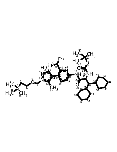 Cc1nn(COCC[Si](C)(C)C)c(C)c1-c1ccc(NC(=O)[C@@H](NC(=O)OC(C)(C)C)C(C2CCCCC2)C2CCCCC2)nc1C(F)F